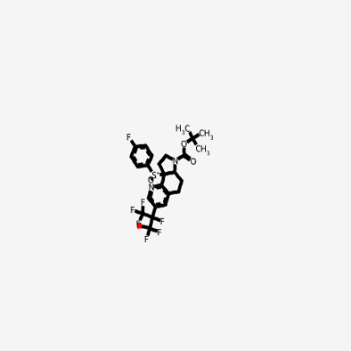 CC(C)(C)OC(=O)N1CCC2([S+]([O-])c3ccc(F)cc3)c3ncc(C(F)(C(F)(F)F)C(F)(F)F)cc3CCC12